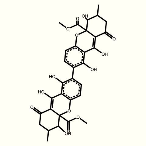 COC(=O)C12Oc3ccc(-c4ccc5c(c4O)C(O)=C4C(=O)CC(C)C(O)C4(C(=O)OC)O5)c(O)c3C(O)=C1C(=O)CC(C)C2O